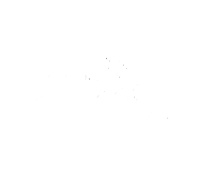 O=C(O)CNC(=O)c1c(O)c2ccc(-c3cccc(Cl)c3)nc2c2ncnn12